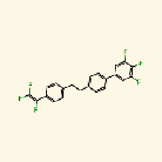 FC(F)=C(F)c1ccc(CCc2ccc(-c3cc(F)c(F)c(F)c3)cc2)cc1